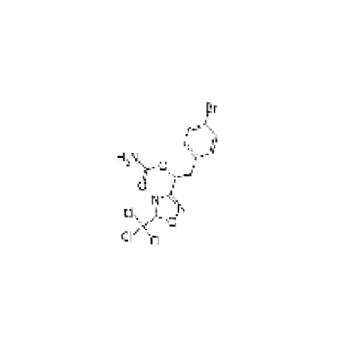 NC(=O)O[C@@H](Cc1ccc(Br)cc1)c1noc(C(Cl)(Cl)Cl)n1